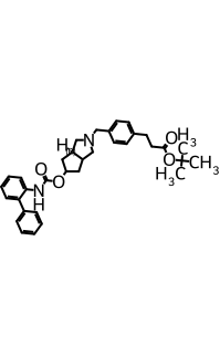 CC(C)(C)OC(=O)CCc1ccc(CN2CC3CC(OC(=O)Nc4ccccc4-c4ccccc4)C[C@H]3C2)cc1